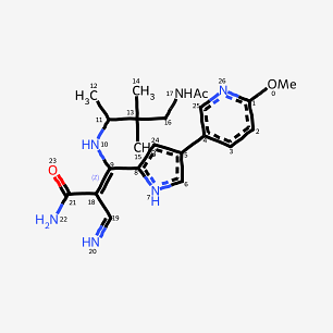 COc1ccc(-c2c[nH]c(/C(NC(C)C(C)(C)CNC(C)=O)=C(\C=N)C(N)=O)c2)cn1